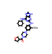 COc1cc(N2CCN(C(=O)C3CCOC3)CC2)ccc1Nc1nc(NC2CCCCC2)c2nc[nH]c2n1